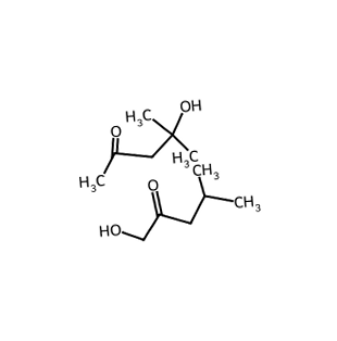 CC(=O)CC(C)(C)O.CC(C)CC(=O)CO